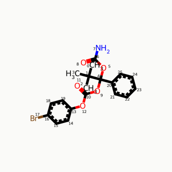 CC(C)(C)C(OC(N)=O)(OC(=O)Oc1ccc(Br)cc1)c1ccccc1